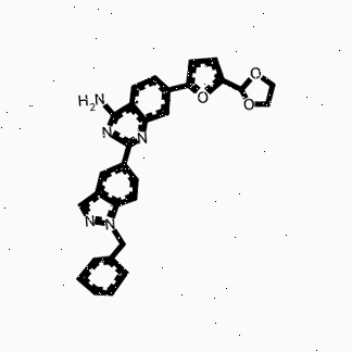 Nc1nc(-c2ccc3c(cnn3Cc3ccccc3)c2)nc2cc(-c3ccc(C4OCCO4)o3)ccc12